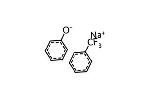 FC(F)(F)c1ccccc1.[Na+].[O-]c1ccccc1